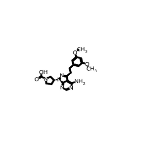 COc1cc(CCc2nn([C@H]3CCN(C(=O)O)C3)c3ncnc(N)c23)cc(OC)c1